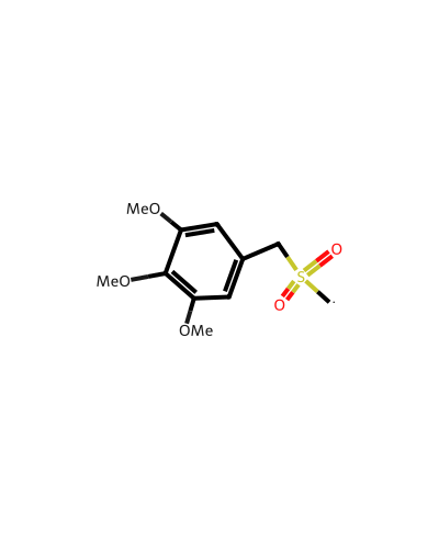 [CH2]S(=O)(=O)Cc1cc(OC)c(OC)c(OC)c1